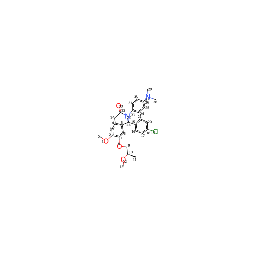 COc1cc2c(cc1OC[C@@H](C)OC)C(c1ccc(Cl)cc1)N(c1ccc(N(C)C)cc1)C(=O)C2